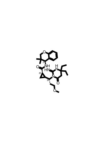 CCC1(CC)CC(=O)N([C@H](CCOC)C2C[C@H]2C(=O)N[C@@H]2c3ccccc3OCC2(C)C)C(=N)N1